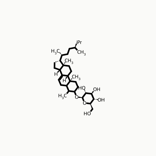 CC1C(O[C@@H]2O[C@H](CO)[C@@H](O)[C@H](O)[C@H]2O)CC[C@@]2(C)C1CC=C1[C@@H]3CC[C@H]([C@H](C)CC[C@H](C)C(C)C)[C@@]3(C)CC[C@@H]12